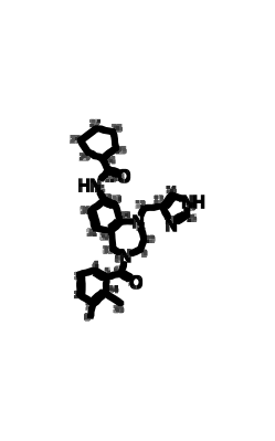 Cc1cccc(C(=O)N2CCN(Cc3c[nH]cn3)c3cc(NC(=O)C4CCCCC4)ccc3C2)c1C